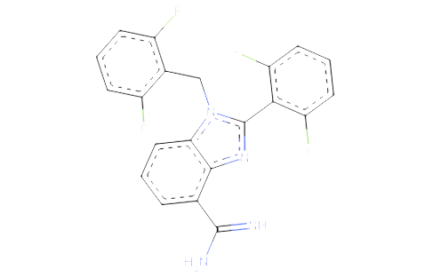 N=C(N)c1cccc2c1nc(-c1c(F)cccc1F)n2Cc1c(F)cccc1F